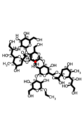 CCO[C@@H]1OC(CO)[C@H](O)[C@H](O[C@@H]2OC(CO[C@]3(C(=O)O)C[C@@H](O)[C@@H](C)C([C@H](O)[C@H](O)CO)O3)[C@@H](O)[C@H](O[C@@H]3OC(CO)[C@H](O[C@@H]4OC(CO)[C@H](O)[C@H](O)C4C)[C@H](O[C@@]4(C(=O)O)CC(O)[C@H](C)C([C@H](O)[C@H](O)CO)O4)C3O)C2NC(C)=O)C1O